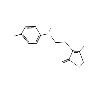 CC1=C(CC[S+]([O-])c2ccc(C)cc2)C(=O)NC1